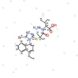 CCc1ccc(-n2c(Br)nnc2SC(C)(C)C(=O)N(N)C(C(=O)O)C(C)C)c2ccccc12